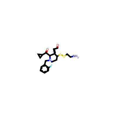 NCCSSC1CCN(Cc2ccccc2F)C(C(=O)C2CC2)/C1=C/C=O